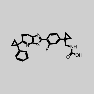 O=C(O)NCC1(c2ccc(-c3nc4ccc(C5(c6ccccc6)CC5)nc4s3)c(F)c2)CC1